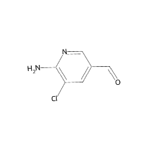 Nc1ncc(C=O)cc1Cl